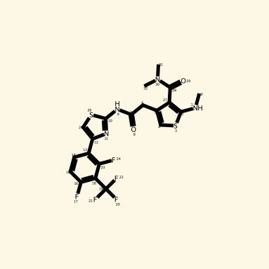 CNc1scc(CC(=O)Nc2nc(-c3ccc(F)c(C(F)(F)F)c3F)cs2)c1C(=O)N(C)C